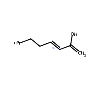 C=C(O)/C=C/CCCCC